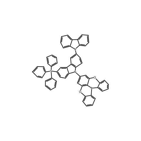 c1ccc([Si](c2ccccc2)(c2ccccc2)c2ccc3c(c2)c2cc(-n4c5ccccc5c5ccccc54)ccc2n3-c2cc3c4c(c2)Oc2ccccc2B4c2ccccc2O3)cc1